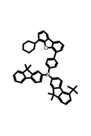 CC(C)(C)c1cccc2c1-c1ccc(N(c3ccc(-c4cccc5c4oc4c(C6CCCCC6)cccc45)cc3)c3ccc4c(c3)C(C)(C)c3ccccc3-4)cc1C2(C)C